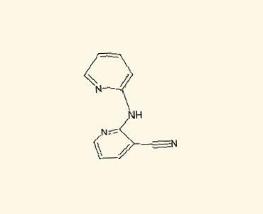 N#Cc1cccnc1Nc1ccccn1